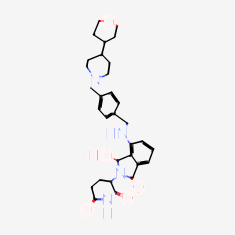 O=C1CCC(N2C(=O)c3cccc(NCc4ccc(CN5CCC(C6CCOCC6)CC5)cc4)c3C2O)C(=O)N1